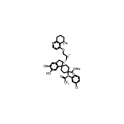 COC(=O)C1(N(C(=O)C(F)(F)F)c2cccc(Cl)c2)CCC2(CC1)c1cc(O)c(Cl)cc1C[C@@H]2C[C@@H](C)COc1ccnc2c1[C@H](C)CCC2